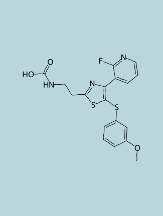 COc1cccc(Sc2sc(CCNC(=O)O)nc2-c2cccnc2F)c1